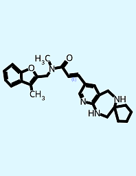 Cc1c(CN(C)C(=O)/C=C/c2cnc3c(c2)CNC2(CCCC2)CN3)oc2ccccc12